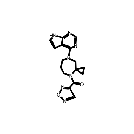 O=C(c1cnon1)N1CCCN(c2ncnc3[nH]ccc23)CC12CC2